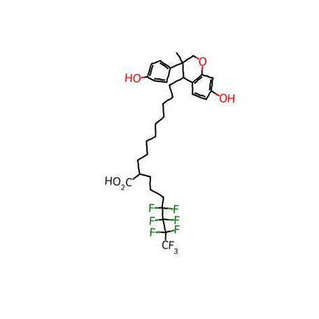 CC1(c2ccc(O)cc2)COc2cc(O)ccc2C1CCCCCCCCCC(CCCC(F)(F)C(F)(F)C(F)(F)C(F)(F)F)C(=O)O